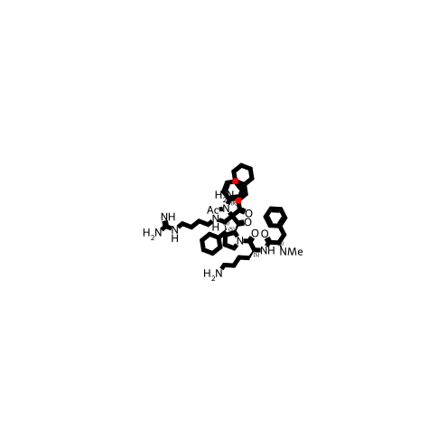 CN[C@@H](Cc1ccccc1)C(=O)N[C@@H](CCCCN)C(=O)N1CCC[C@H]1C(=O)C(C(=O)[C@H](N)CC1CCCCC1)([C@H](CC1CCCCC1)NCCCCNC(=N)N)N(C(C)=O)c1ccccc1